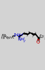 CCCCCNC(N)CCCCCC(=O)C(F)(F)F